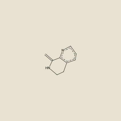 C=C1NCCc2cccnc21